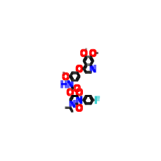 COc1cc(Oc2ccnc3cc(OC)c(OC)cc23)ccc1NC(=O)Oc1cn(C(C)C)c(=O)n(-c2ccc(F)cc2)c1=O